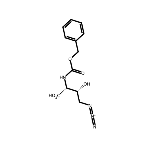 [N-]=[N+]=NC[C@@H](O)[C@@H](NC(=O)OCc1ccccc1)C(=O)O